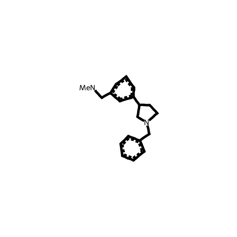 CNCc1cccc(C2CCN(Cc3ccccc3)C2)c1